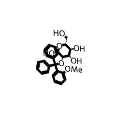 COc1ccccc1C(O[C@H]1[C@@H](O)[C@H](O)[C@@H](CO)O[C@@H]1O)(c1ccccc1)c1ccccc1